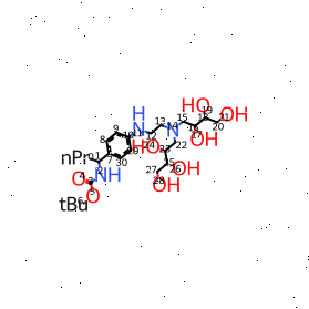 CCCC(NC(=O)OC(C)(C)C)c1ccc(NCCN(C[C@H](O)[C@H](O)CO)C[C@H](O)[C@H](O)CO)cc1